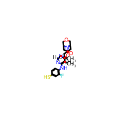 Cc1c(Nc2ccc(S)cc2F)ncnc1OC1CC2COCC(C1)N2C(=O)CC(C)(C)C